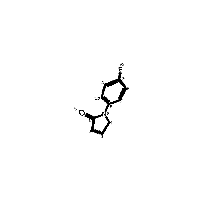 O=C1CCCN1c1ccc(F)cc1